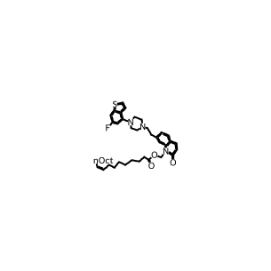 CCCCCCCC/C=C\CCCCCCCC(=O)OCn1c(=O)ccc2ccc(CCN3CCN(c4cc(F)cc5sccc45)CC3)cc21